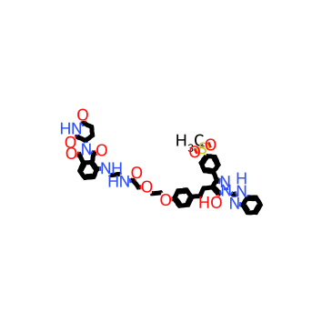 CS(=O)(=O)c1ccc(-c2nn(-c3nc4ccccc4[nH]3)c(O)c2CCc2ccc(OCCOCC(=O)NCCNc3cccc4c3C(=O)N(C3CCC(=O)NC3=O)C4=O)cc2)cc1